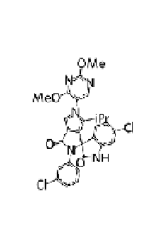 COc1ncc(-n2cc3c(c2C(C)C)C2(C(=O)Nc4cc(Cl)ccc42)N(c2cccc(Cl)c2)C3=O)c(OC)n1